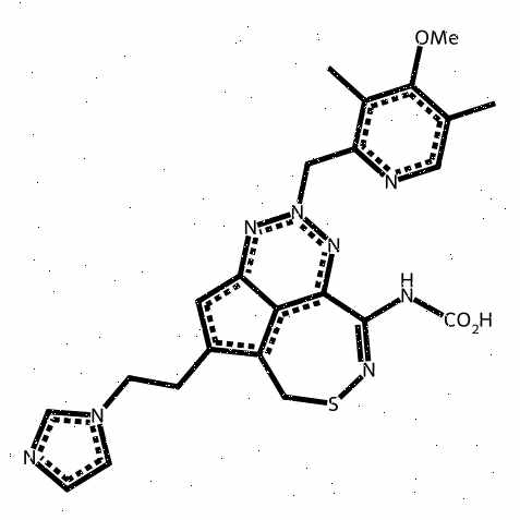 COc1c(C)cnc(Cn2nc3cc(CCn4ccnc4)c4c-3c(n2)C(NC(=O)O)=NSC4)c1C